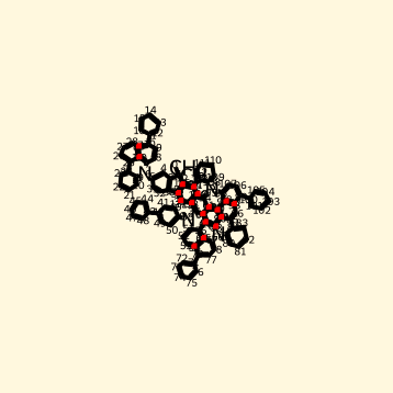 CC1(C)c2cc(N(c3ccc(-c4ccccc4)cc3)c3ccccc3-c3ccccc3)ccc2-c2cc3c(N(c4ccc(-c5ccccc5)cc4)c4ccccc4-c4ccccc4)c4cc(N(c5ccc(-c6ccccc6)cc5)c5ccccc5-c5ccccc5)ccc4c(N(c4ccc(-c5ccccc5)cc4)c4ccccc4-c4ccccc4)c3cc21